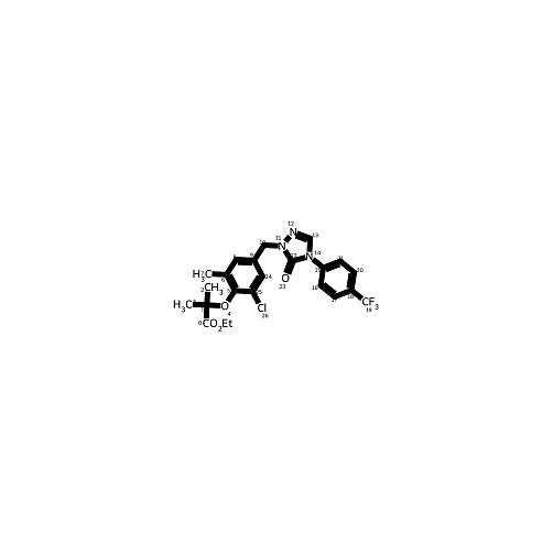 CCOC(=O)C(C)(C)Oc1c(C)cc(Cn2ncn(-c3ccc(C(F)(F)F)cc3)c2=O)cc1Cl